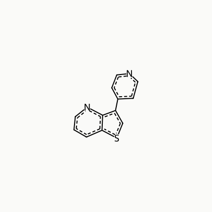 c1cnc2c(-c3ccncc3)csc2c1